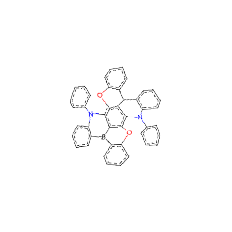 c1ccc(N2c3ccccc3B3c4ccccc4Oc4c3c2c2c3c4N(c4ccccc4)c4ccccc4C3c3ccccc3O2)cc1